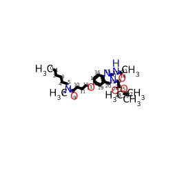 CCCCCCN(C)C(=O)CCCOc1ccc2c(c1)CN(CC(=O)OC(C)(C)C)C(NC(C)=O)=N2